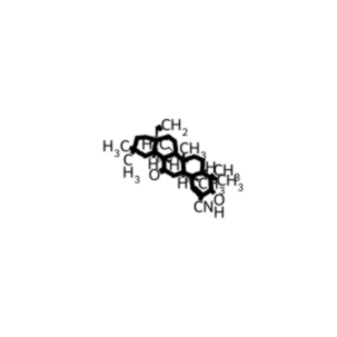 C=C[C@]12CCC(C)(C)C[C@H]1[C@H]1C(=O)C[C@@H]3[C@@]4(C)C=C(C#N)C(O)C(C)(C)[C@@H]4CC[C@@]3(C)[C@]1(C)CC2